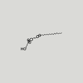 CCCCCCCCCCCCCCCCCCOc1ccc(C=Cc2ccc(S(=O)(=O)CCCCCCO)cc2)cc1